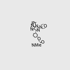 CNC(=O)COc1cccc(-c2nc(N3CCOCC3)nc3c2ncn3C(C)C)c1